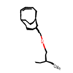 COC(C)COCC1CC2C=CC1C2